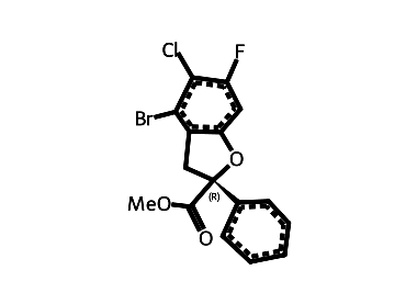 COC(=O)[C@]1(c2ccccc2)Cc2c(cc(F)c(Cl)c2Br)O1